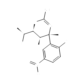 C[C@H](F)[C@H]1OC(N)=N[C@](C)(c2cc([N+](=O)[O-])ccc2F)[C@H]1F